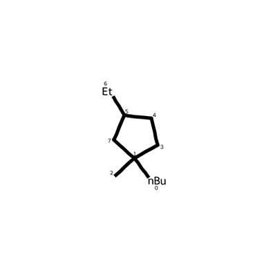 CCCCC1(C)CCC(CC)C1